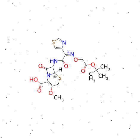 COC1=C(C(=O)O)N2C(=O)C(NC(=O)/C(=N\OCC(=O)OC(C)(C)C)c3cscn3)[C@H]2SC1